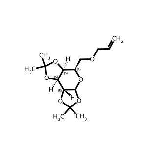 C=CCOC[C@H]1OC2OC(C)(C)O[C@@H]2[C@H]2OC(C)(C)O[C@H]21